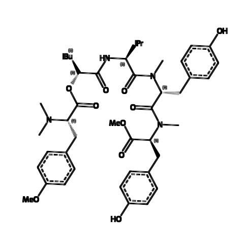 CC[C@H](C)[C@@H](OC(=O)[C@H](Cc1ccc(OC)cc1)N(C)C)C(=O)N[C@H](C(=O)N(C)[C@H](Cc1ccc(O)cc1)C(=O)N(C)[C@@H](Cc1ccc(O)cc1)C(=O)OC)C(C)C